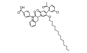 CCCCCCCCCCCCCCOc1cn(C(Cc2ccccc2)C(=O)Nc2ccc(C(=O)O)cc2)c(=O)cc1-c1cc(Cl)ccc1C(C)=O